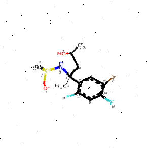 CC(C)(C)[S+]([O-])N[C@@](C)(C[C@@H](O)C(F)(F)F)c1cc(Br)c(F)cc1F